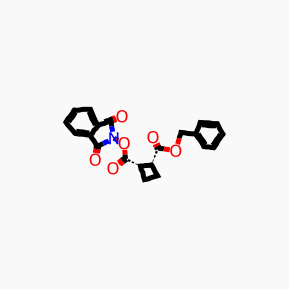 O=C(ON1C(=O)c2ccccc2C1=O)[C@H]1CC[C@H]1C(=O)OCc1ccccc1